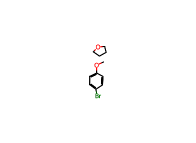 C1CCOC1.COc1ccc(Br)cc1